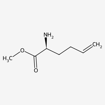 C=CCC[C@H](N)C(=O)OC